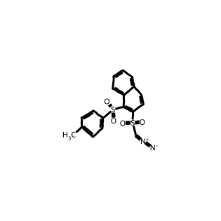 Cc1ccc(S(=O)(=O)c2c(S(=O)(=O)C=[N+]=[N-])ccc3ccccc23)cc1